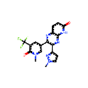 Cn1ccc(-c2nc3[nH]c(=O)ccc3nc2-c2cc(C(F)(F)F)c(=O)n(C)c2)n1